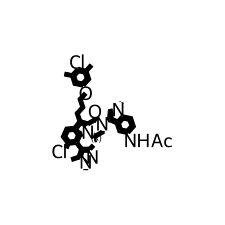 CC(=O)Nc1ccc2c(c1)c(N1C[C@@H](C)n3c(c(CCCOc4cc(C)c(Cl)c(C)c4)c4ccc(Cl)c(-c5c(C)nn(C)c5C)c43)C1=O)cn2C